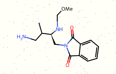 COCN[C@@H](CN1C(=O)c2ccccc2C1=O)C(C)CN